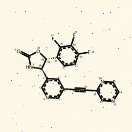 O=C1N[C@H](c2cncc(C#Cc3cnccn3)c2)[C@@H](c2ccc(F)c(F)c2F)O1